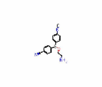 [C-]#[N+]c1ccc(B(OCCN)c2ccc(C#N)cc2)cc1